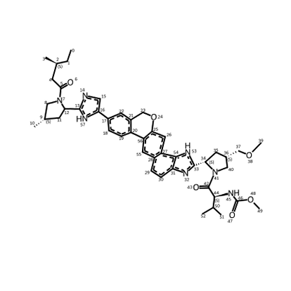 CC[C@H](C)CC(=O)N1C[C@@H](C)CC1c1ncc(-c2ccc3c(c2)COc2cc4c(ccc5nc([C@@H]6C[C@H](COC)CN6C(=O)[C@@H](NC(=O)OC)C(C)C)[nH]c54)cc2-3)[nH]1